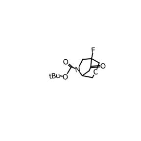 CC(C)(C)OC(=O)N1CC2(F)CCCC1CC2=O